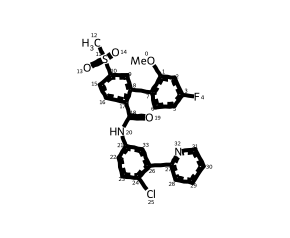 COc1cc(F)ccc1-c1cc(S(C)(=O)=O)ccc1C(=O)Nc1ccc(Cl)c(-c2ccccn2)c1